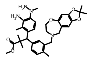 COC(=O)C(C)(C)C(c1ccc(C)c(CN2CCOc3cc4c(cc3C2)OC(C)(C)O4)c1)c1ccc(N(C)N)c(N)c1C